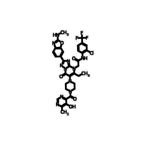 CCc1c(N2CCN(C(=O)c3ncnc(C)c3O)CC2)c(=O)n2nc(-c3ccc4nc(NC)oc4c3)nc2n1CC(=O)Nc1ccc(C(F)(F)F)cc1Cl